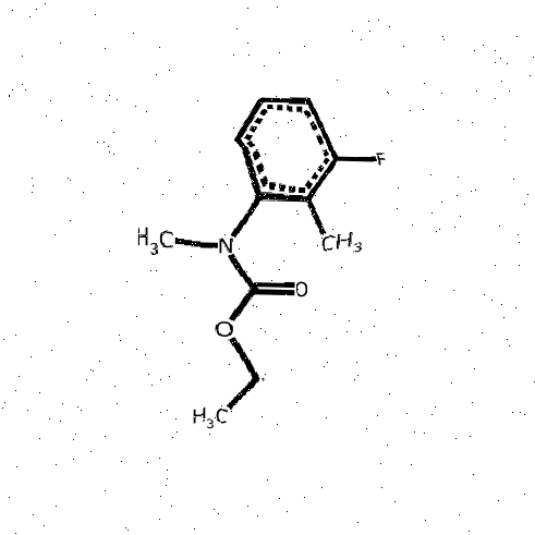 C[CH]OC(=O)N(C)c1cccc(F)c1C